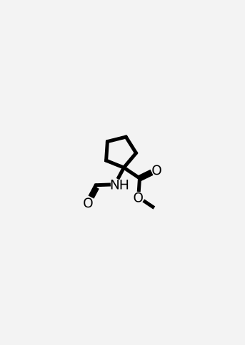 COC(=O)C1(NC=O)CCCC1